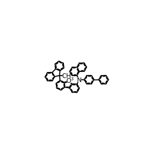 CC1(c2cccc3c2oc2c(N(c4ccc(-c5ccccc5)cc4)c4cccc5ccccc45)cccc23)c2ccccc2-c2ccccc21